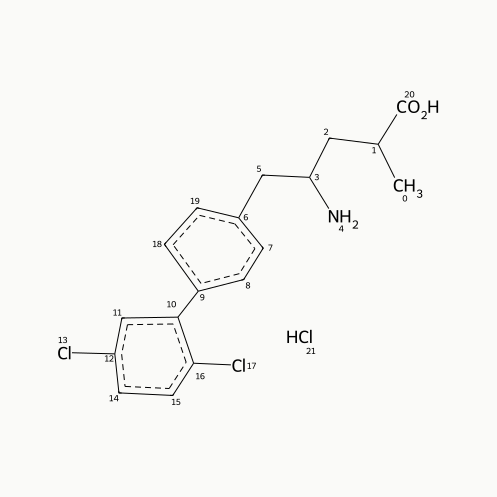 CC(CC(N)Cc1ccc(-c2cc(Cl)ccc2Cl)cc1)C(=O)O.Cl